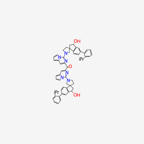 CC(C)c1ccccc1-c1ccc2c(c1)C(O)CC21CCN(c2nc(C(=O)c3cc4cccn4c(N4CCC5(CC(O)c6cc(-c7ccccc7C(C)C)ccc65)C4)n3)cc3cccn23)C1